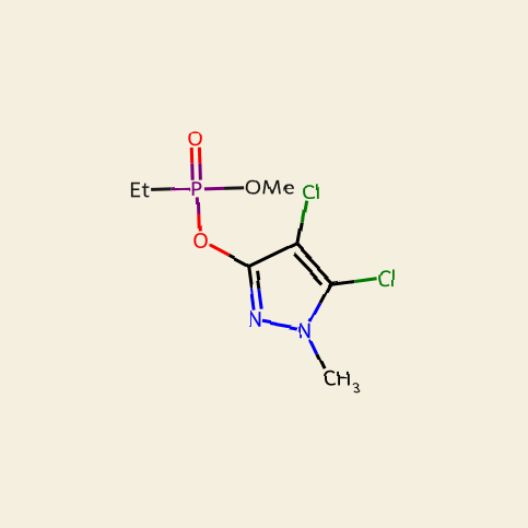 CCP(=O)(OC)Oc1nn(C)c(Cl)c1Cl